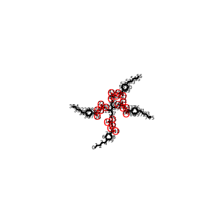 CCCCCc1ccc(C(=O)OOC(=O)OCCC(COC(=O)OOC(=O)c2ccc(CCCCC)cc2)C(CCOC(=O)OOC(=O)c2ccc(CCCCC)cc2)COC(=O)OOC(=O)c2ccc(CCCCC)cc2)cc1